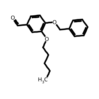 CCCCCOc1cc(C=O)ccc1OCc1ccccc1